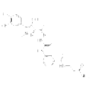 CC(=NNC(=S)Nc1cccc(C(=O)NCCC(N)=O)c1)c1nn(C)c(-c2ccc(Cl)c(Cl)c2)c1O